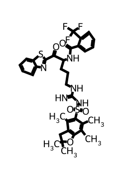 Cc1c(C)c(S(=O)(=O)NC(=N)NCCCC(NC(=O)c2ccccc2C(F)(F)F)C(=O)c2nc3ccccc3s2)c(C)c2c1OC(C)(C)C2